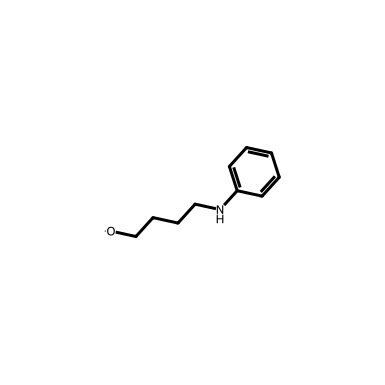 [O]CCCCNc1ccccc1